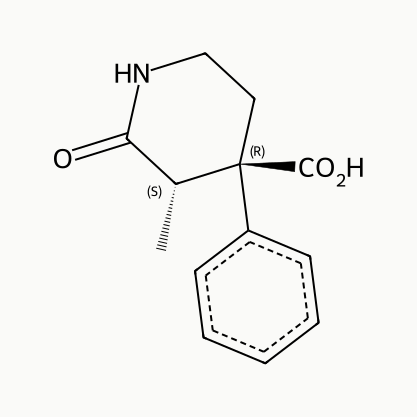 C[C@@H]1C(=O)NCC[C@]1(C(=O)O)c1ccccc1